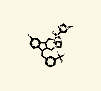 Cn1cnc(S(=O)(=O)NCC2c3cc(F)ccc3C(Cc3cccc(C(F)(F)F)c3)C2CN2CCC2)c1